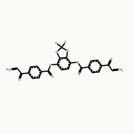 C=CC(=O)c1ccc(C(=O)Oc2ccc(OC(=O)c3ccc(C(=O)C=C)cc3)c3c2OC(F)(F)O3)cc1